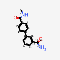 CNC(=O)c1ccc(-c2cccc(C(N)=O)c2)cc1